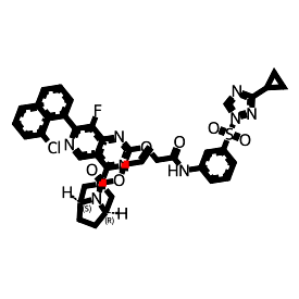 C=CCOC(=O)N1[C@@H]2CC[C@H]1CN(c1nc(OCC(=O)Nc3cccc(S(=O)(=O)n4cnc(C5CC5)n4)c3)nc3c(F)c(-c4cccc5cccc(Cl)c45)ncc13)C2